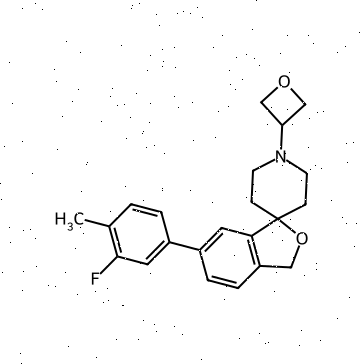 Cc1ccc(-c2ccc3c(c2)C2(CCN(C4COC4)CC2)OC3)cc1F